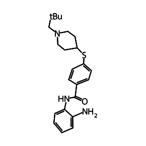 CC(C)(C)CN1CCC(Sc2ccc(C(=O)Nc3ccccc3N)cc2)CC1